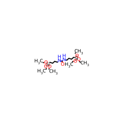 CCO[Si](CCCCNC(=O)NCCCC[Si](OCC)(OCC)OCC)(OCC)OCC